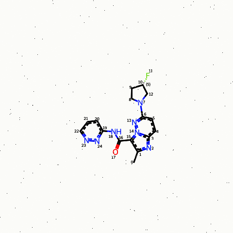 Cc1nc2ccc(N3CC[C@H](F)C3)nn2c1C(=O)Nc1cccnn1